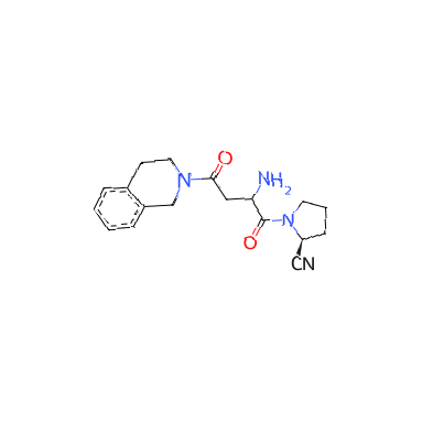 N#C[C@@H]1CCCN1C(=O)C(N)CC(=O)N1CCc2ccccc2C1